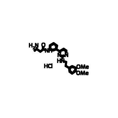 COc1ccc(CCNc2nccc(-c3cccc(NC(=O)CC(C)N)c3)n2)cc1OC.Cl